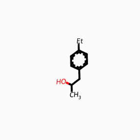 CCc1ccc(CC(C)O)cc1